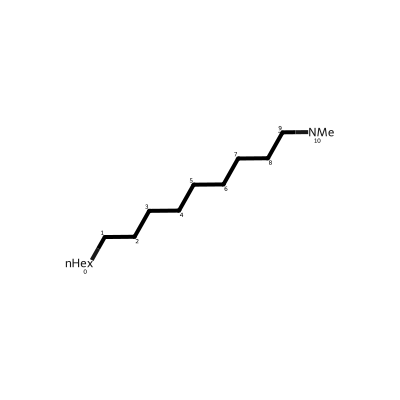 [CH2]CCCCCCCCCCCCC[CH]NC